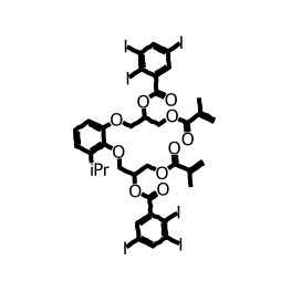 C=C(C)C(=O)OCC(COc1cccc(C(C)C)c1OCC(COC(=O)C(=C)C)OC(=O)c1cc(I)cc(I)c1I)OC(=O)c1cc(I)cc(I)c1I